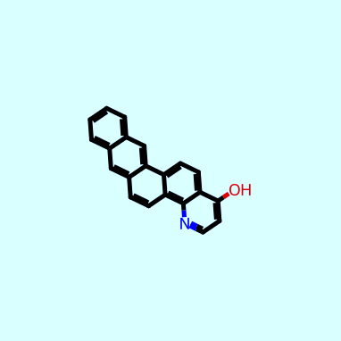 Oc1ccnc2c1ccc1c3cc4ccccc4cc3ccc12